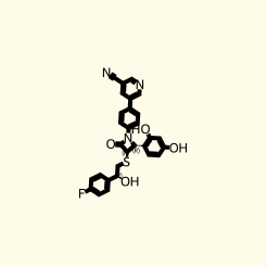 N#Cc1cncc(-c2ccc(N3C(=O)[C@H](SC[C@H](O)c4ccc(F)cc4)[C@H]3c3ccc(O)cc3O)cc2)c1